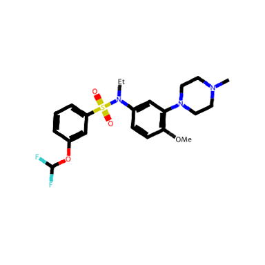 CCN(c1ccc(OC)c(N2CCN(C)CC2)c1)S(=O)(=O)c1cccc(OC(F)F)c1